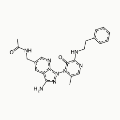 CC(=O)NCc1cnc2c(c1)c(N)nn2-n1c(C)cnc(NCCc2ccccc2)c1=O